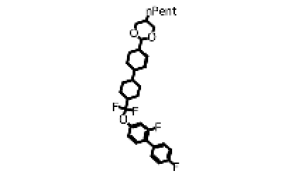 CCCCCC1COC(C2CCC(C3CCC(C(F)(F)Oc4ccc(-c5ccc(F)cc5)c(F)c4)CC3)CC2)OC1